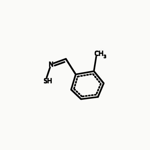 Cc1ccccc1/C=N\S